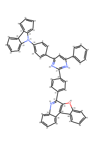 c1ccc(-c2cc(-c3ccc(-n4c5ccccc5c5ccccc54)cc3)nc(-c3ccc(-c4nc5ccccc5c5c4oc4ccccc45)cc3)n2)cc1